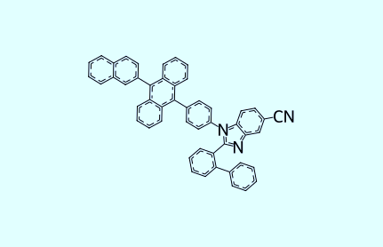 N#Cc1ccc2c(c1)nc(-c1ccccc1-c1ccccc1)n2-c1ccc(-c2c3ccccc3c(-c3ccc4ccccc4c3)c3ccccc23)cc1